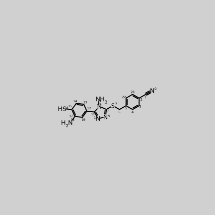 N#Cc1ccc(CSc2nnc(-c3ccc(S)c(N)c3)n2N)cc1